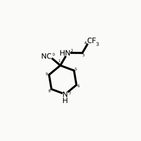 N#CC1(NCC(F)(F)F)CCNCC1